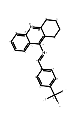 FC(F)(F)c1ccc(C=Nc2c3c(nc4ccccc24)CCCC3)cc1